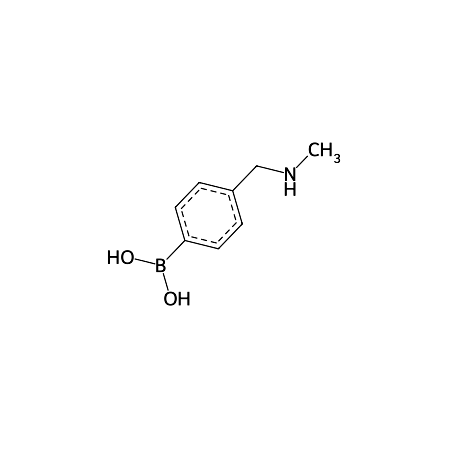 CNCc1ccc(B(O)O)cc1